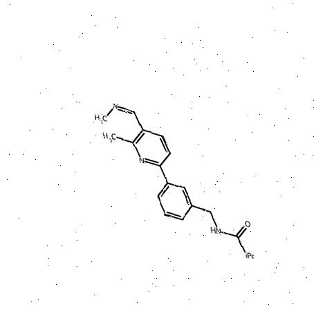 C/N=C\c1ccc(-c2cccc(CNC(=O)C(C)C)c2)nc1C